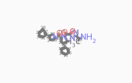 C[C@H](N)c1noc(C(=O)N2C[C@@H](c3ccccc3)C[C@H]2C(=O)N2CC[C@H](c3ccccc3)C2)n1